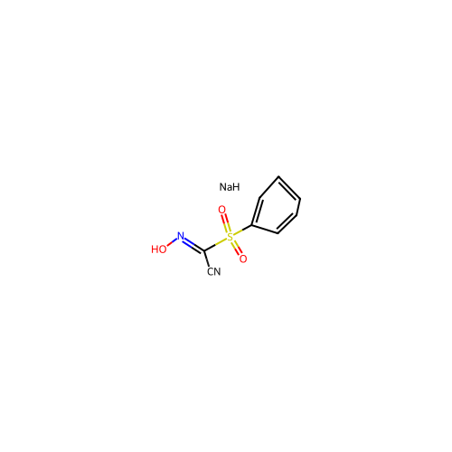 N#CC(=NO)S(=O)(=O)c1ccccc1.[NaH]